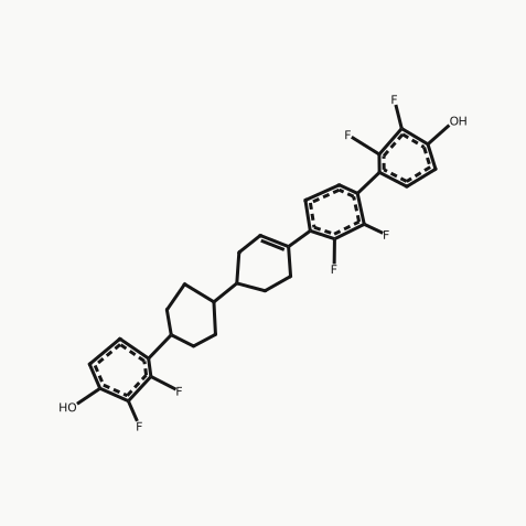 Oc1ccc(-c2ccc(C3=CCC(C4CCC(c5ccc(O)c(F)c5F)CC4)CC3)c(F)c2F)c(F)c1F